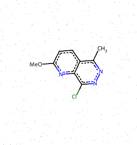 COc1ccc2c(C)nnc(Cl)c2n1